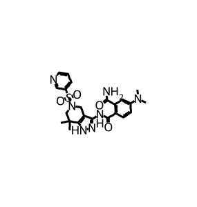 CN(C)c1ccc(C(=O)Nc2n[nH]c3c2CN(S(=O)(=O)c2cccnc2)CC3(C)C)c(C(N)=O)c1